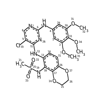 COc1cc(Nc2ncc(Cl)c(Nc3ccc4c(c3NS(C)(=O)=O)OCCO4)n2)cc(OC)c1OC